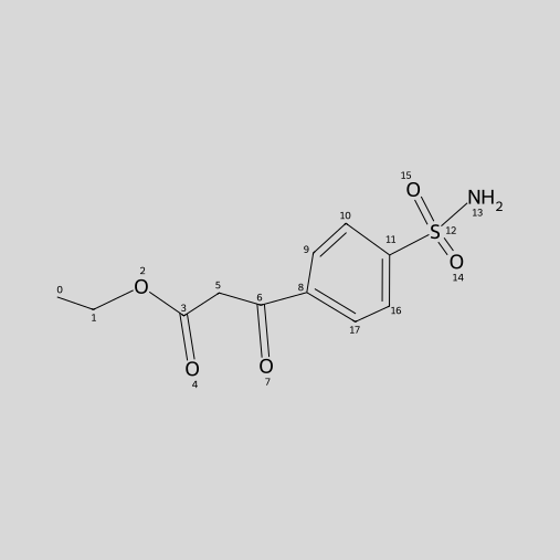 CCOC(=O)CC(=O)c1ccc(S(N)(=O)=O)cc1